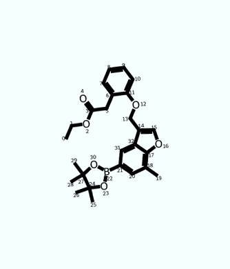 CCOC(=O)Cc1ccccc1OCc1coc2c(C)cc(B3OC(C)(C)C(C)(C)O3)cc12